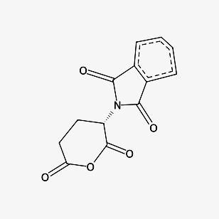 O=C1CC[C@H](N2C(=O)c3ccccc3C2=O)C(=O)O1